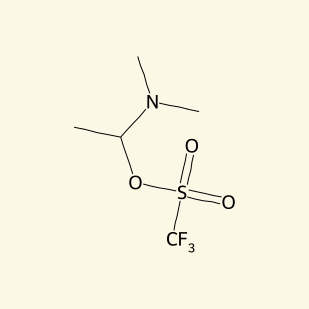 CC(OS(=O)(=O)C(F)(F)F)N(C)C